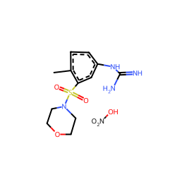 Cc1ccc(NC(=N)N)cc1S(=O)(=O)N1CCOCC1.O=[N+]([O-])O